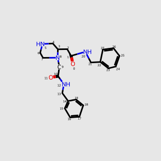 O=C(CC1CNCCN1CC(=O)NCc1ccccc1)NCc1ccccc1